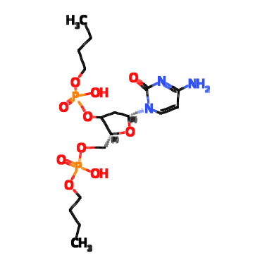 CCCCOP(=O)(O)OC[C@H]1O[C@@H](n2ccc(N)nc2=O)CC1OP(=O)(O)OCCCC